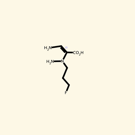 N/C=C(/C(=O)O)N(N)CCCF